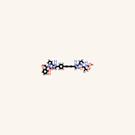 COC(=O)N[C@H](C(=O)N1CCC[C@H]1c1ncc(C#CC#Cc2ccc(-c3cnc([C@@H]4CCCN4N(C(=O)O)[C@@H](C=O)c4ccccc4)[nH]3)cc2)[nH]1)C(C)C